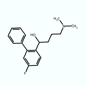 CN(C)CCCC(O)c1ccc(F)cc1-c1ccccc1